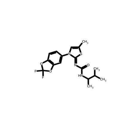 Cc1cn(-c2ccc3c(c2)OC(F)(F)O3)c(=NC(=O)NC(C)C(C)C)s1